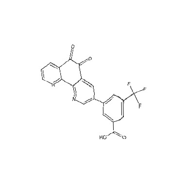 O=C(O)c1cc(-c2cnc3c(c2)C(=O)C(=O)c2cccnc2-3)cc(C(F)(F)F)c1